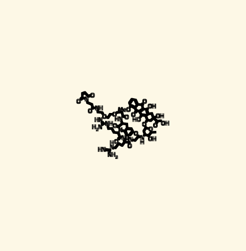 COc1cccc2c1C(=O)c1c(O)c3c(c(O)c1C2=O)CC(O)(C(=O)CO)CC3OC1CC(NC(=O)CNC(=O)C(CCCNC(=N)N)NC(=O)C(CCCNC(=N)N)N2C(=O)C(NC(=O)CCOCCOCCNC(=O)CCN3C(=O)C=CC3=O)Cc3ccccc32)C(O)C(C)O1